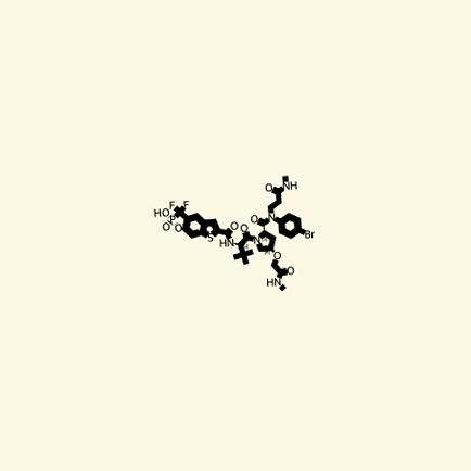 CNC(=O)CCN(C(=O)[C@@H]1C[C@@H](OCC(=O)NC)CN1C(=O)[C@@H](NC(=O)c1cc2cc(C(F)(F)P(=O)(O)O)ccc2s1)C(C)(C)C)c1ccc(Br)cc1